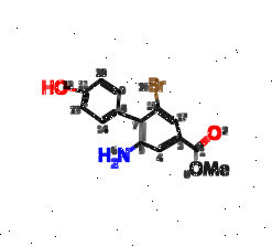 COC(=O)c1cc(N)c(-c2ccc(O)cc2)c(Br)c1